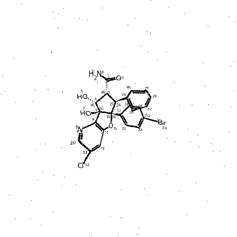 NC(=O)[C@H]1[C@@H](O)[C@@]2(O)c3ncc(Cl)cc3O[C@@]2(c2ccc(Br)cc2)[C@@H]1c1ccccc1